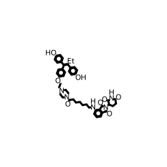 CCC(=C(c1ccc(O)cc1)c1ccc(OCCN2CCN(C(=O)CCCCCCNc3cccc4c3C(=O)N(C3CCC(=O)NC3=O)C4=O)CC2)cc1)c1ccc(O)cc1